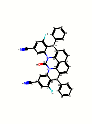 N#Cc1cc(F)c2c(c1)N1C(=O)N3c4cc(C#N)cc(F)c4B(c4ccccc4)c4ccc5ccc(c1c5c43)B2c1ccccc1